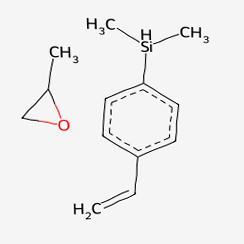 C=Cc1ccc([SiH](C)C)cc1.CC1CO1